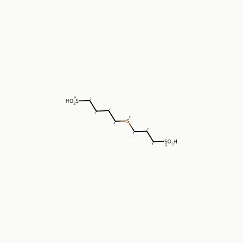 O=S(=O)(O)CCCCSCCCS(=O)(=O)O